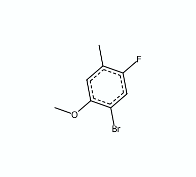 COc1cc(C)c(F)cc1Br